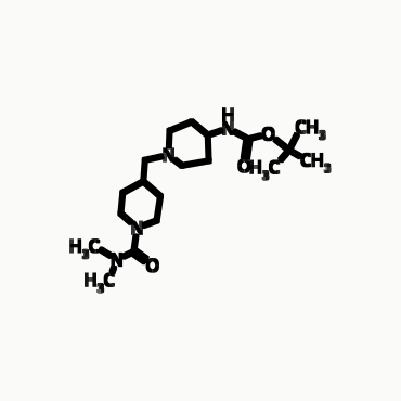 CN(C)C(=O)N1CCC(CN2CCC(NC(=O)OC(C)(C)C)CC2)CC1